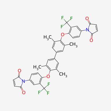 Cc1cc(-c2cc(C)c(Oc3ccc(N4C(=O)C=CC4=O)cc3C(F)(F)F)c(C)c2)cc(C)c1Oc1ccc(N2C(=O)C=CC2=O)cc1C(F)(F)F